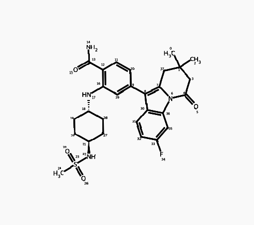 CC1(C)CC(=O)n2c(c(-c3ccc(C(N)=O)c(N[C@H]4CC[C@H](NS(C)(=O)=O)CC4)c3)c3ccc(F)cc32)C1